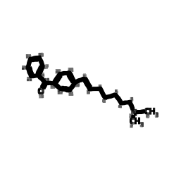 CN(C)CCCCCC=Cc1ccc(C(=O)c2ccccc2)cc1